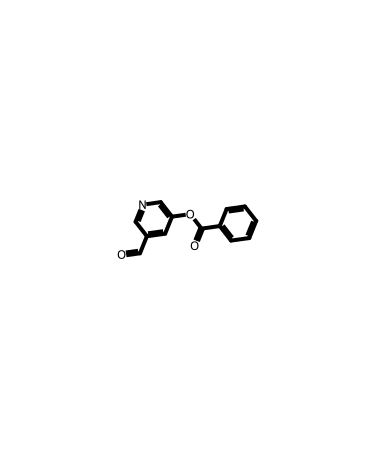 O=Cc1cncc(OC(=O)c2ccccc2)c1